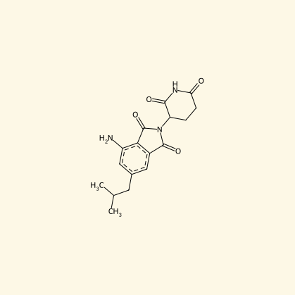 CC(C)Cc1cc(N)c2c(c1)C(=O)N(C1CCC(=O)NC1=O)C2=O